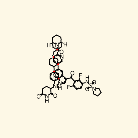 O=C1CCC(Nc2ccc(C3CCN(CC(=O)N4[C@@H]5CCC[C@H]4CN(c4ccc(-c6cnc7[nH]cc(C(=O)c8c(F)ccc(NS(=O)(=O)N9CCCC9)c8F)c7c6)cn4)C5)CC3)cc2)C(=O)N1